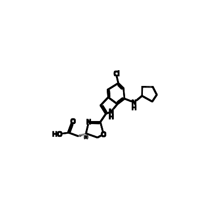 O=C(O)C[C@H]1COC(c2cc3cc(Cl)cc(NC4CCCC4)c3[nH]2)=N1